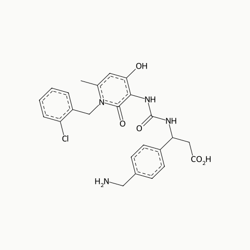 Cc1cc(O)c(NC(=O)NC(CC(=O)O)c2ccc(CN)cc2)c(=O)n1Cc1ccccc1Cl